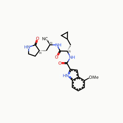 COc1cccc2[nH]c(C(=O)N[C@@H](CC3CC3)C(=O)N[C@H](C#N)C[C@@H]3CCNC3=O)cc12